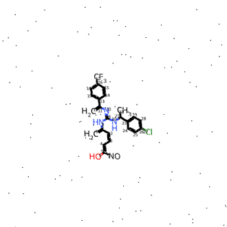 C=C(/C=C\C=C(\O)N=O)N/C(=N\C(=C)c1ccc(C(F)(F)F)cc1)NC(C)c1ccc(Cl)cc1